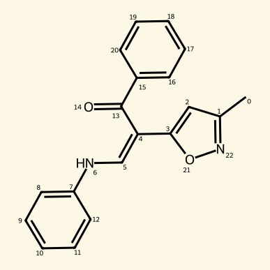 Cc1cc(C(=CNc2ccccc2)C(=O)c2ccccc2)on1